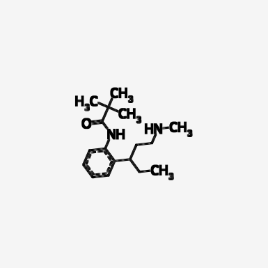 CCC(CCNC)c1ccccc1NC(=O)C(C)(C)C